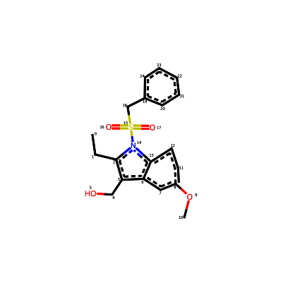 CCc1c(CO)c2cc(OC)ccc2n1S(=O)(=O)Cc1ccccc1